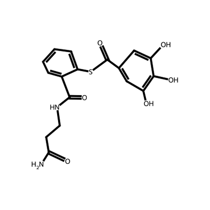 NC(=O)CCNC(=O)c1ccccc1SC(=O)c1cc(O)c(O)c(O)c1